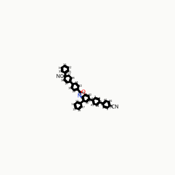 N#Cc1ccc(-c2ccc(-c3cc(-c4ccccc4)c4nc(-c5ccc(C6=CCC(C#N)(c7ccccc7)C=C6)cc5)oc4c3)cc2)cc1